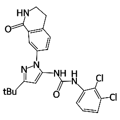 CC(C)(C)c1cc(NC(=O)Nc2cccc(Cl)c2Cl)n(-c2ccc3c(c2)C(=O)NCC3)n1